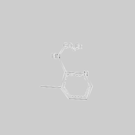 CCOC(=O)Nc1ncccc1C